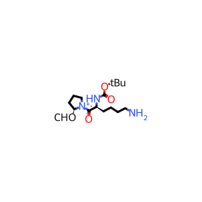 CC(C)(C)OC(=O)N[C@@H](CCCCN)C(=O)[N+]1CCC[C@H]1C=O